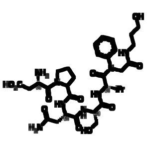 CC(C)[C@H](NC(=O)[C@H](CO)NC(=O)[C@H](CC(N)=O)NC(=O)C1CCCN1C(=O)[C@@H](N)CC(=O)O)C(=O)N(CC(=O)NCCCO)c1ccccc1